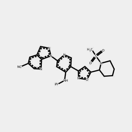 CC(C)Nc1cc(-n2ncc3cc(C#N)cnc32)ncc1-c1cc(C2CCCCN2S(C)(=O)=O)on1